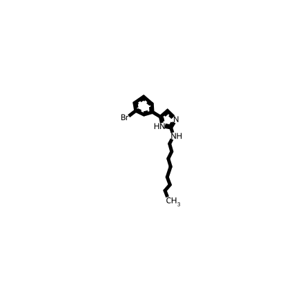 CCCCCCCCNc1ncc(-c2cccc(Br)c2)[nH]1